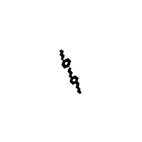 CCC/C=C/C1CCC(CCCC[C@H]2CC[C@H](CCCCC)CC2)CC1